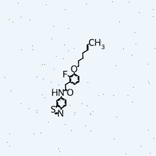 CC=CCCCCOc1cccc(CC(=O)Nc2ccc3ncsc3c2)c1F